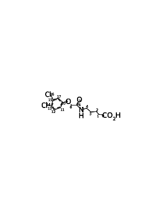 O=C(O)CCCCNC(=O)COc1ccc(Cl)c(Cl)c1